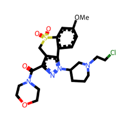 COc1ccc2c(c1)S(=O)(=O)Cc1c(C(=O)N3CCOCC3)nn(C3CCCN(CCCl)C3)c1-2